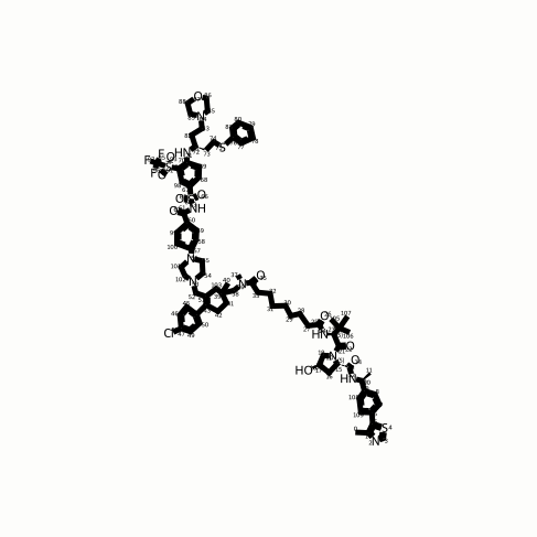 Cc1ncsc1-c1ccc([C@H](C)NC(=O)[C@@H]2C[C@@H](O)CN2C(=O)[C@@H](NC(=O)CCCCCCCC(=O)N(C)CC2(C)CCC(c3ccc(Cl)cc3)=C(CN3CCN(c4ccc(C(=O)NS(=O)(=O)c5ccc(N[C@@H](CCSc6ccccc6)CCN6CCOCC6)c(S(=O)(=O)C(F)(F)F)c5)cc4)CC3)C2)C(C)(C)C)cc1